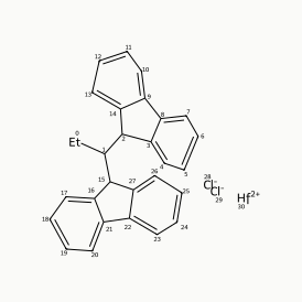 CCC(C1c2ccccc2-c2ccccc21)C1c2ccccc2-c2ccccc21.[Cl-].[Cl-].[Hf+2]